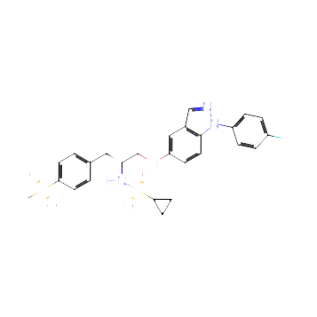 CS(=O)(=O)c1ccc(C[C@@H](COc2ccc3c(cnn3-c3ccc(F)cc3)c2)NS(=O)(=O)C2CC2)cc1